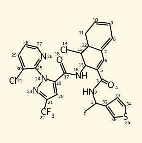 CC(NC(=O)C1=CC2=CC=CCC2C(Cl)C1NC(=O)c1cc(C(F)(F)F)nn1-c1ncccc1Cl)c1ccsc1